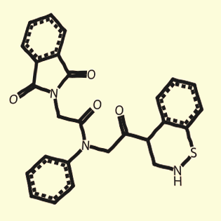 O=C(CN(C(=O)CN1C(=O)c2ccccc2C1=O)c1ccccc1)C1CNSc2ccccc21